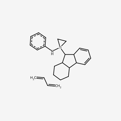 C1=CC2C(C=C1)[CH]([Ti]1([NH]c3ccccc3)[CH2][CH2]1)C1CCCCC21.C=CC=C